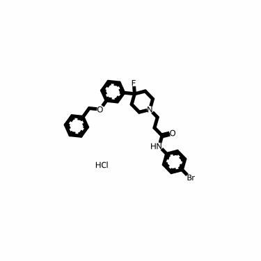 Cl.O=C(CCN1CCC(F)(c2cccc(OCc3ccccc3)c2)CC1)Nc1ccc(Br)cc1